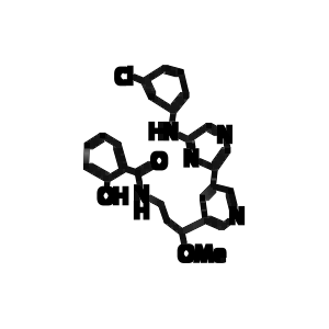 COC(CCNC(=O)c1ccccc1O)c1cncc(-c2cncc(Nc3cccc(Cl)c3)n2)c1